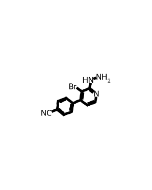 N#Cc1ccc(-c2ccnc(NN)c2Br)cc1